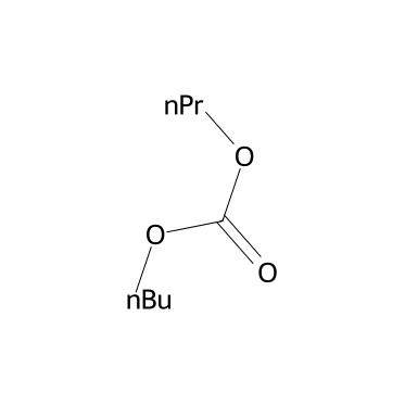 C[CH]COC(=O)OCCCC